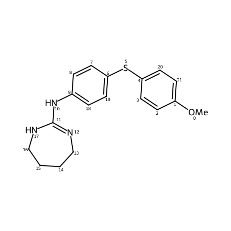 COc1ccc(Sc2ccc(NC3=NCCCCN3)cc2)cc1